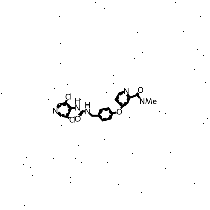 CNC(=O)c1cc(Oc2ccc(CNC(=O)Nc3c(Cl)cncc3Cl)cc2)ccn1